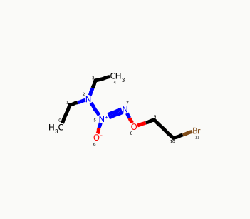 CCN(CC)[N+]([O-])=NOCCBr